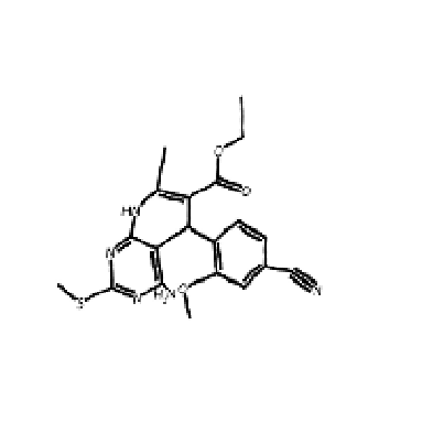 CCOC(=O)C1=C(C)Nc2nc(SC)nc(N)c2C1c1ccc(C#N)cc1OC